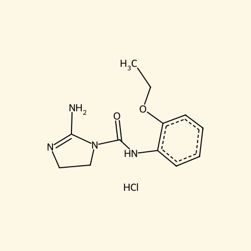 CCOc1ccccc1NC(=O)N1CCN=C1N.Cl